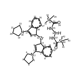 C1=C(N2CCCC2)c2ccccc2[CH]1[Zr][CH]1C=C(N2CCCC2)c2ccccc21.C[Si](C)(C)C(=O)[NH][InH][NH]C(=O)[Si](C)(C)C